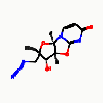 CC[C@@]1(CN=[N+]=[N-])O[C@@H]2[C@@H](Oc3nc(=O)ccn32)[C@@H]1O